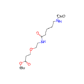 CC(C)(C)OC(=O)CCOCCNC(=O)CCCCNC=O